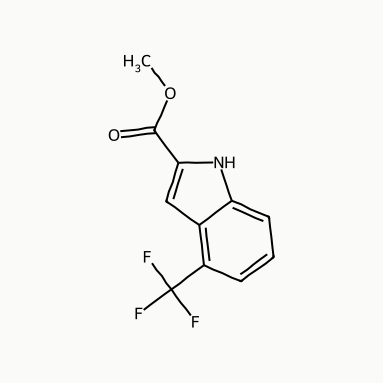 COC(=O)c1cc2c(C(F)(F)F)cccc2[nH]1